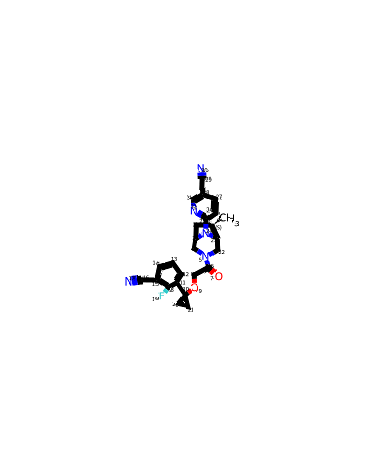 C[C@H]1CC2CN(C(=O)COC3(c4cccc(C#N)c4F)CC3)CC1N2c1ccc(C#N)cn1